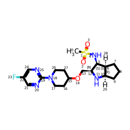 CS(=O)(=O)N[C@H]1[C@H]2CCC[C@H]2N[C@H]1COC1CCN(c2ncc(F)cn2)CC1